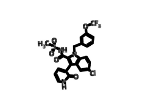 CS(=O)(=O)NC(=O)c1c(-c2ccc[nH]c2=O)c2cc(Cl)ccc2n1Cc1cccc(OC(F)(F)F)c1